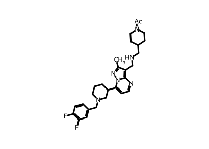 CC(=O)N1CCC(CNCc2c(C)nn3c(C4CCCN(Cc5ccc(F)c(F)c5)C4)ccnc23)CC1